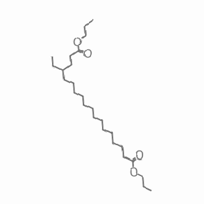 CCCOC(=O)CCCCCCCCCCCCCC(CC)CCC(=O)OCCC